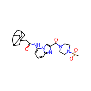 CS(=O)(=O)N1CCN(C(=O)c2cn3c(NC(=O)CC45CC6CC(CC(C6)C4)C5)cccc3n2)CC1